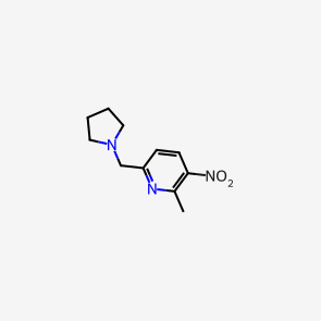 Cc1nc(CN2CCCC2)ccc1[N+](=O)[O-]